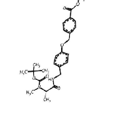 COC(=O)c1ccc(COc2ccc(CNC(=O)[C@H](C)N(C)C(=O)OC(C)(C)C)cc2)cc1